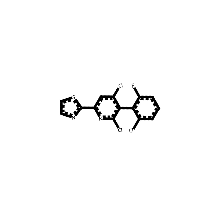 Fc1cccc(Cl)c1-c1c(Cl)cc(-c2nccs2)nc1Cl